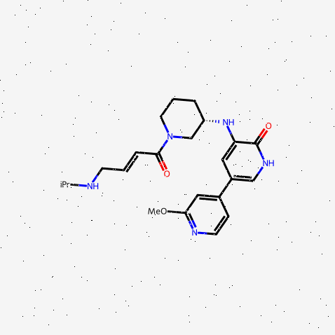 COc1cc(-c2c[nH]c(=O)c(N[C@H]3CCCN(C(=O)C=CCNC(C)C)C3)c2)ccn1